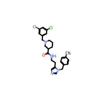 N#Cc1ccc(Cn2cncc2CCNC(=O)C2CCCN(Cc3cc(Cl)cc(Cl)c3)C2)cc1